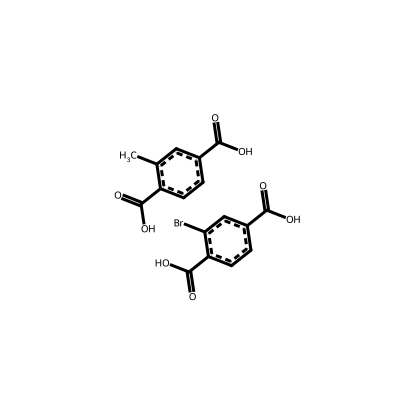 Cc1cc(C(=O)O)ccc1C(=O)O.O=C(O)c1ccc(C(=O)O)c(Br)c1